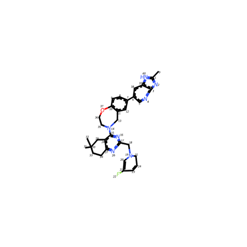 Cc1nc2ncc(-c3ccc4c(c3)CN(c3nc(CN5C=C(F)C=CC5)nc5c3CC(C)(C)CC5)CCO4)cc2[nH]1